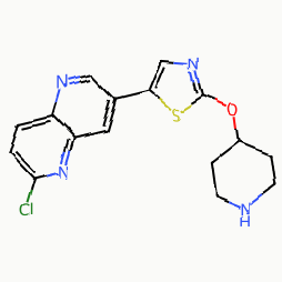 Clc1ccc2ncc(-c3cnc(OC4CCNCC4)s3)cc2n1